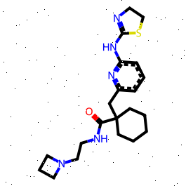 O=C(NCCN1CCC1)C1(Cc2cccc(NC3=NCCS3)n2)CCCCC1